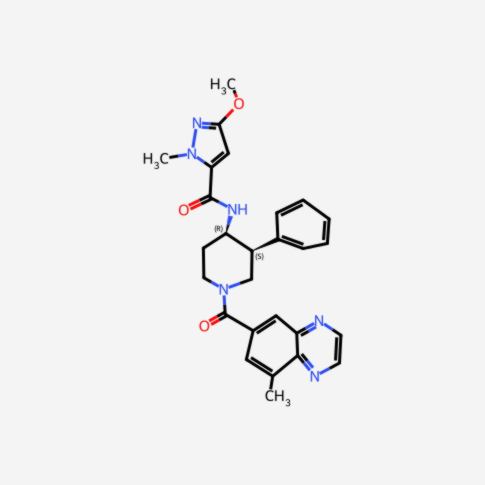 COc1cc(C(=O)N[C@@H]2CCN(C(=O)c3cc(C)c4nccnc4c3)C[C@@H]2c2ccccc2)n(C)n1